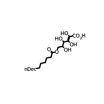 CCCCCCCCCCCCCCCC(=O)OCC(O)C(O)/C(O)=C(\O)C(=O)O